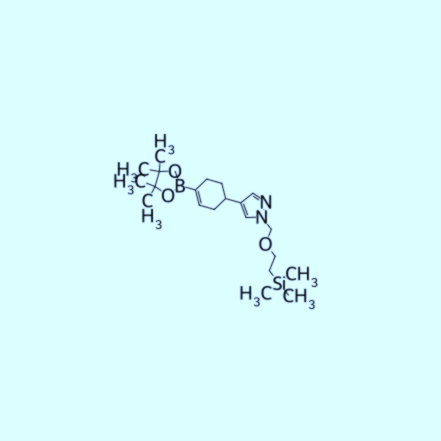 CC1(C)OB(C2=CCC(c3cnn(COCC[Si](C)(C)C)c3)CC2)OC1(C)C